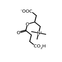 C[N+](C)(C)CC(CC(=O)[O-])OC(=O)CCC(=O)O